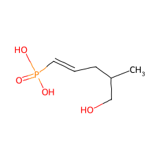 CC(CO)CC=CP(=O)(O)O